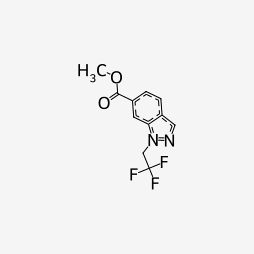 COC(=O)c1ccc2cnn(CC(F)(F)F)c2c1